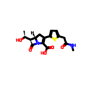 CNC(=O)Cc1ccc(C2=C(C(=O)O)N3C(=O)[C@H]([C@@H](C)O)[C@H]3C2)s1